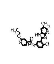 CCOc1cc(C(=O)Nc2ccc(Cl)c(-c3nc4ncc(C)cc4[nH]3)c2)ccn1